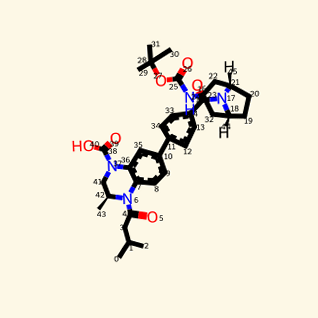 CC(C)CC(=O)N1c2ccc(-c3ccc(C(=O)N4[C@@H]5CC[C@H]4CC(NC(=O)OC(C)(C)C)C5)cc3)cc2N(C(=O)O)C[C@@H]1C